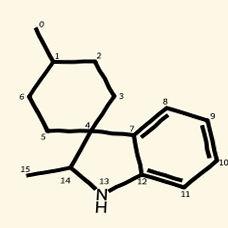 CC1CCC2(CC1)c1ccccc1NC2C